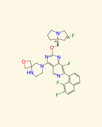 Fc1ccc2cccc(-c3ncc4c(N5CCNC6(COC6)C5)nc(OC[C@@]56CCCN5C[C@H](F)C6)nc4c3F)c2c1F